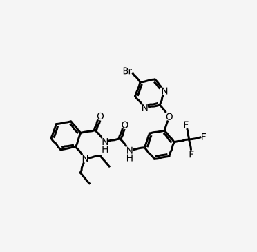 CCN(CC)c1ccccc1C(=O)NC(=O)Nc1ccc(C(F)(F)F)c(Oc2ncc(Br)cn2)c1